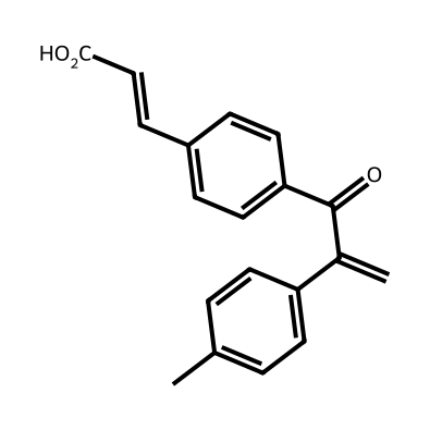 C=C(C(=O)c1ccc(/C=C/C(=O)O)cc1)c1ccc(C)cc1